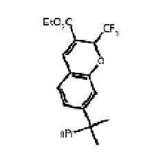 CCCC(C)(C)c1ccc2c(c1)OC(C(F)(F)F)C(C(=O)OCC)=C2